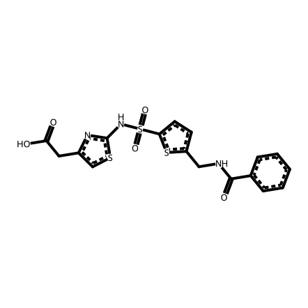 O=C(O)Cc1csc(NS(=O)(=O)c2ccc(CNC(=O)c3ccccc3)s2)n1